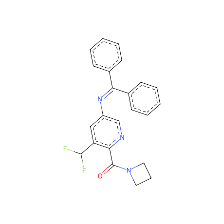 O=C(c1ncc(N=C(c2ccccc2)c2ccccc2)cc1C(F)F)N1CCC1